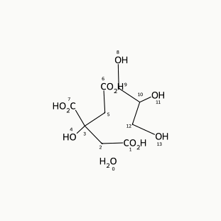 O.O=C(O)CC(O)(CC(=O)O)C(=O)O.OCC(O)CO